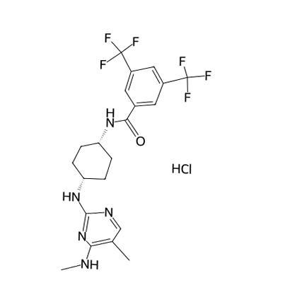 CNc1nc(N[C@H]2CC[C@@H](NC(=O)c3cc(C(F)(F)F)cc(C(F)(F)F)c3)CC2)ncc1C.Cl